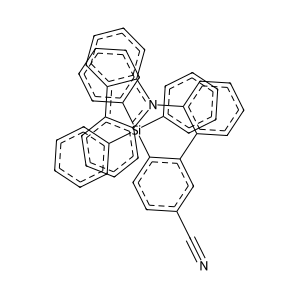 N#Cc1ccc([Si](c2ccccc2)(c2ccccc2)c2ccccc2)c(-c2ccccc2-n2c3ccccc3c3ccccc32)c1